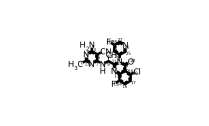 Cc1nc(N)c(C#N)c(N[C@H](C)c2nc3c(F)ccc(Cl)c3c(=O)n2-c2cncc(F)c2)n1